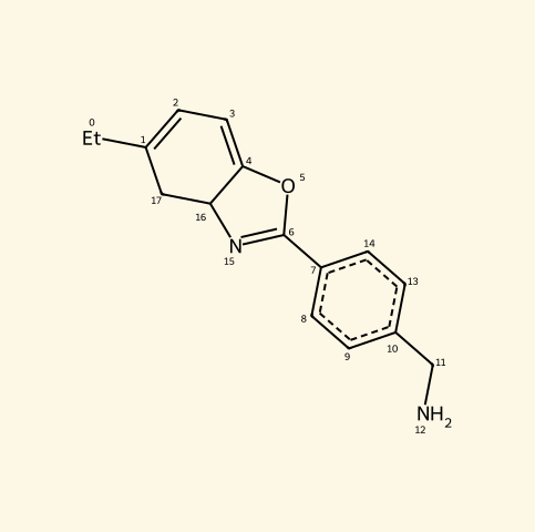 CCC1=CC=C2OC(c3ccc(CN)cc3)=NC2C1